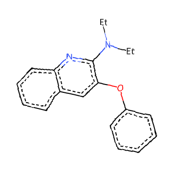 CCN(CC)c1nc2ccccc2cc1Oc1ccccc1